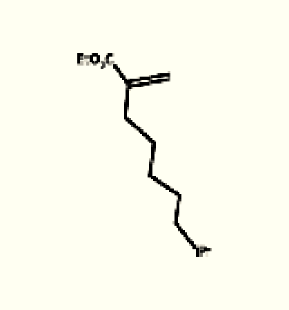 C=C(CCCCCC(C)C)C(=O)OCC